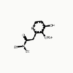 CCN(CC)C(=O)Cc1nccc(O)c1OC